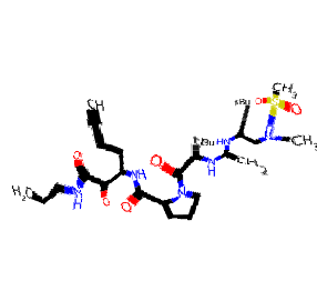 C#CCCC(NC(=O)C1CCCN1C(=O)C(NC(=C)NC(CN(C)S(C)(=O)=O)C(C)(C)C)C(C)(C)C)C(=O)C(=O)NCC=C